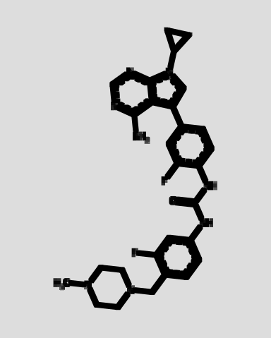 CN1CCN(Cc2ccc(NC(=O)Nc3ccc(-c4cn(C5CC5)c5ncnc(N)c45)cc3F)cc2F)CC1